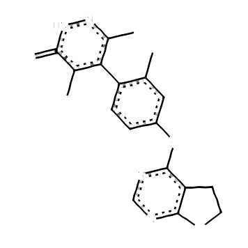 Cc1cc(Oc2ncnc3c2CCO3)ccc1-c1c(C)n[nH]c(=O)c1C